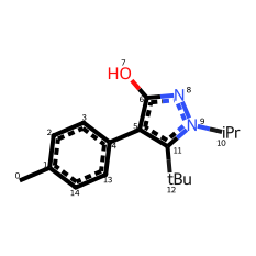 Cc1ccc(-c2c(O)nn(C(C)C)c2C(C)(C)C)cc1